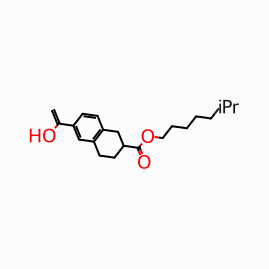 C=C(O)c1ccc2c(c1)CCC(C(=O)OCCCCCC(C)C)C2